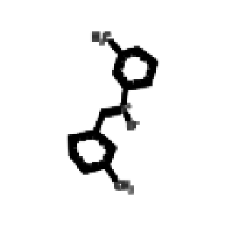 Cc1cccc(C=[N+]([O-])c2cccc(C)c2)c1